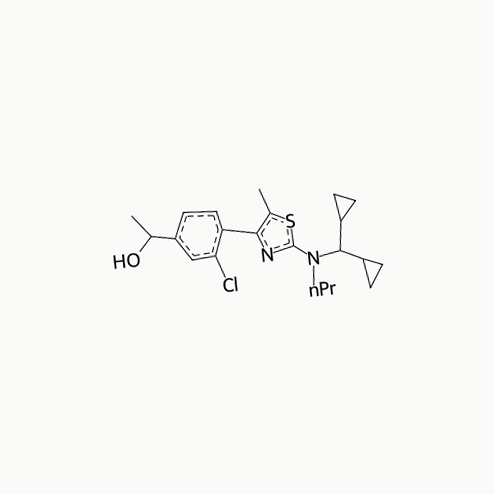 CCCN(c1nc(-c2ccc(C(C)O)cc2Cl)c(C)s1)C(C1CC1)C1CC1